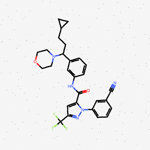 N#Cc1cccc(-n2nc(C(F)(F)F)cc2C(=O)Nc2cccc(C(CCC3CC3)N3CCOCC3)c2)c1